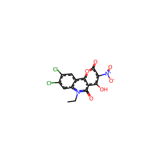 CCn1c(=O)c2c(O)c([N+](=O)[O-])c(=O)oc2c2cc(Cl)c(Cl)cc21